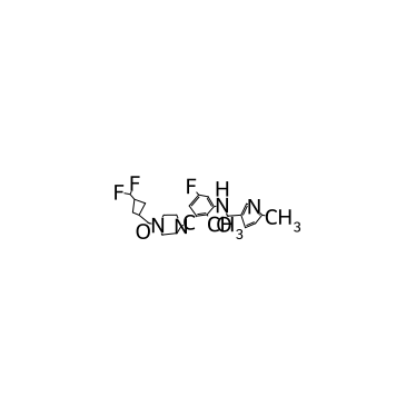 Cc1ccc(C(=O)Nc2cc(F)cc(CN3CCN(C(=O)C4CC(C(F)F)C4)CC3)c2C)cn1